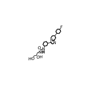 O=C(NCC(O)CO)Nc1cccc(-c2cnc3cc(-c4ccc(F)cc4)ccn23)c1